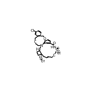 CCO[C@H]1/C=C/CC[C@@H](CC)S(=O)(=O)NC(=O)c2ccc3c(c2)N(CCCCc2cc(Cl)ccc2CO3)C[C@@H]2CC[C@H]21